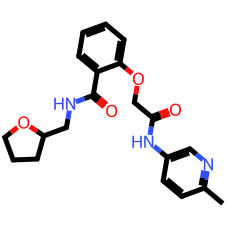 Cc1ccc(NC(=O)COc2ccccc2C(=O)NCC2CCCO2)cn1